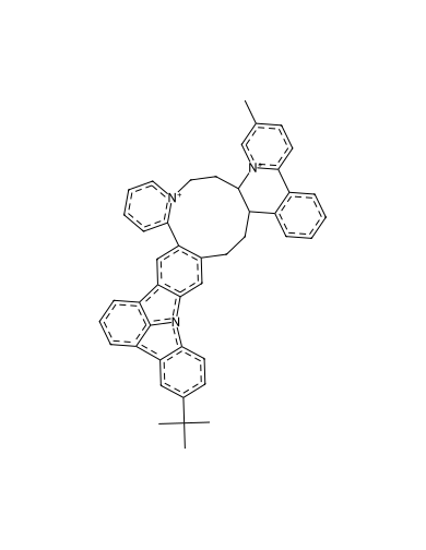 Cc1ccc2[n+](c1)C1CC[n+]3ccccc3-c3cc4c5cccc6c7cc(C(C)(C)C)ccc7n(c4cc3CCC1c1ccccc1-2)c65